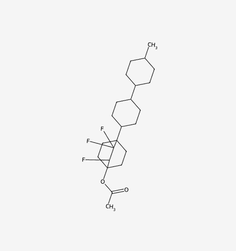 CC(=O)OC12CCC(C3CCC(C4CCC(C)CC4)CC3)(CC1)C(F)(F)C2F